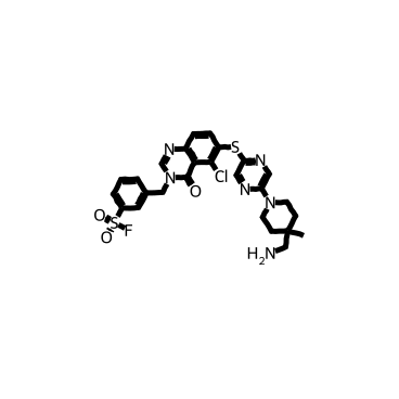 CC1(CN)CCN(c2cnc(Sc3ccc4ncn(Cc5cccc(S(=O)(=O)F)c5)c(=O)c4c3Cl)cn2)CC1